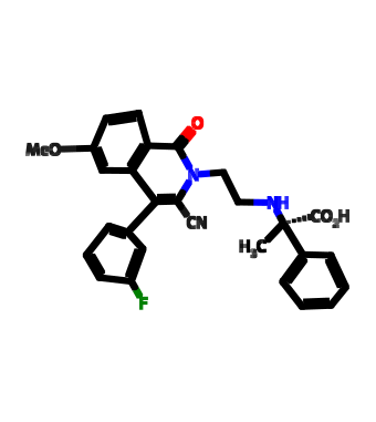 COc1ccc2c(=O)n(CCN[C@@](C)(C(=O)O)c3ccccc3)c(C#N)c(-c3cccc(F)c3)c2c1